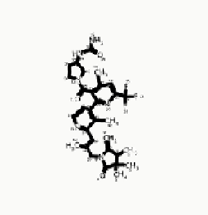 C=C1C(C)C(C)(C)C(=O)N1C/C(C)=C/c1nccc(-c2nc(C(F)(F)F)cc(C)c2C(=O)N2CCC(NC(N)=O)C2)c1C